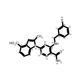 Cc1cc2c(C(=O)O)cccc2n1-c1nnc(C(N)=O)c(NCc2cccc(F)c2)n1